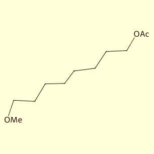 COCCCCCCCCOC(C)=O